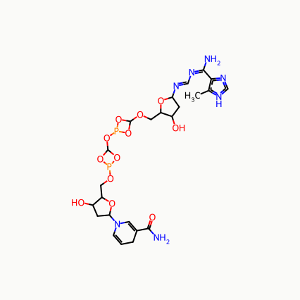 Cc1[nH]cnc1/C(N)=N\C=N\C1CC(O)C(COC2OP(OC3OP(OCC4OC(N5C=CCC(C(N)=O)=C5)CC4O)O3)O2)O1